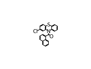 O=C(c1cccc2ccccc12)N1c2ccccc2Sc2ccc(Cl)cc21